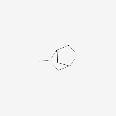 CCN1CC2CC1CN2